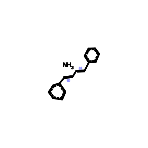 C(/C=C/c1ccccc1)=C\c1ccccc1.N